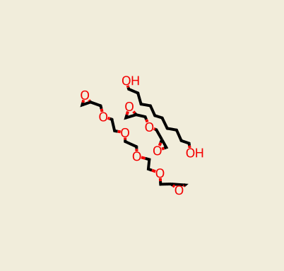 C(COCCOCC1CO1)OCCOCC1CO1.C(OCC1CO1)C1CO1.OCCCCCCCCCCO